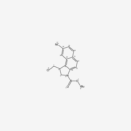 CC(C)(C)OC(=O)N1CC(CCl)c2c1ccc1ccc(C#N)cc21